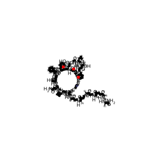 CC(=O)N[C@@H](CC(C)C)C(=O)N[C@H](C(=O)C(=O)[C@H](Cc1ccccc1)NN[C@]1(C)CCCCCC/C=C/CCC[C@@](C)(C(=O)CN[C@@H](C)C(=O)CCN[C@@H](C)C(=O)CCN[C@@H](C)C(=O)CCN[C@@H](C)C(=O)CCC(=O)[C@H](C)NCN[C@H](C)C(N)=O)NC(=O)[C@H](CC2CCC2)NN[C@@H](CCC(N)=O)C(=O)N[C@@H](CO)C(=O)C(=O)[C@H](Cc2c[nH]c3ccccc23)NN[C@@H](Cc2ccc(O)cc2)C(=O)C(=O)[C@H](CCC(=O)O)NC1=O)[C@@H](C)O